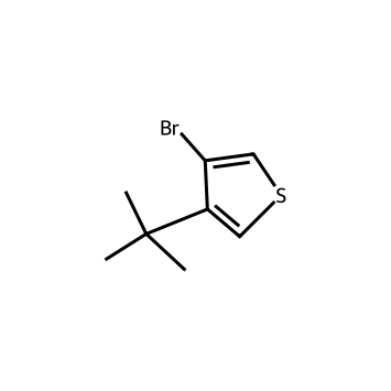 CC(C)(C)c1cscc1Br